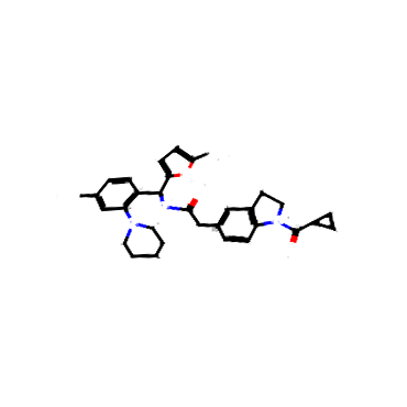 Cc1ccc(C(NC(=O)Cc2ccc3c(c2)CCN3C(=O)C2CC2)c2ccc(C)o2)c(N2CCCCC2)c1